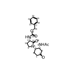 CC(=O)N[C@@H]1CC(=O)CC[C@@H]1N1CC[C@H](NC(=O)OCc2ccccc2)C1=O